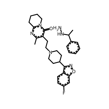 CC(NN)c1ccccc1.Cc1nc2n(c(=O)c1CCN1CCC(c3noc4cc(F)ccc34)CC1)CCCC2